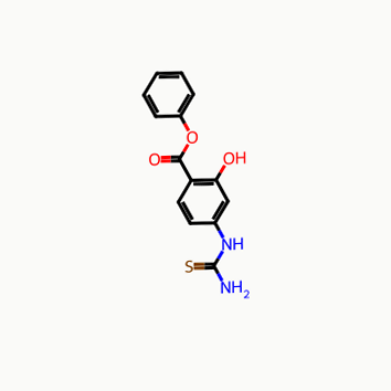 NC(=S)Nc1ccc(C(=O)Oc2ccccc2)c(O)c1